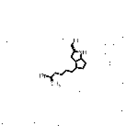 C=C(CCCCC1CCC2N/C(=C\CC)CC12)C(C)C